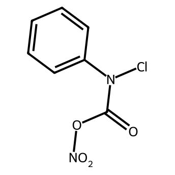 O=C(O[N+](=O)[O-])N(Cl)c1ccccc1